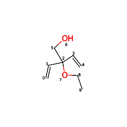 C=CC(C=C)(CO)OCC